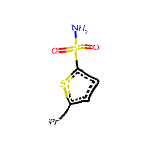 CC(C)c1ccc(S(N)(=O)=O)s1